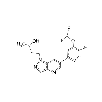 CC(O)CCn1ncc2ncc(-c3ccc(F)c(OC(F)F)c3)cc21